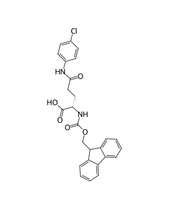 O=C(CC[C@H](NC(=O)OCC1c2ccccc2-c2ccccc21)C(=O)O)Nc1ccc(Cl)cc1